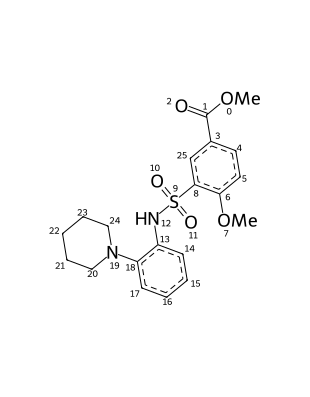 COC(=O)c1ccc(OC)c(S(=O)(=O)Nc2ccccc2N2CCCCC2)c1